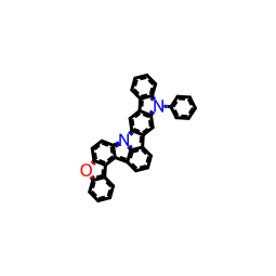 c1ccc(-n2c3ccccc3c3cc4c(cc32)c2cccc3c5c6c(ccc5n4c23)oc2ccccc26)cc1